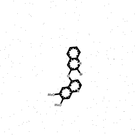 COc1cc2nccc(Oc3cc4ccccc4nc3Br)c2cc1OC